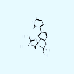 CN1C(=O)[C@]2(C[C@@](C)(CO)Cc3ccc(-c4cccnc4F)cc32)N=C1N